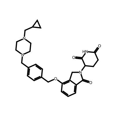 O=C1CCC(N2Cc3c(OCc4ccc(CN5CCN(CC6CC6)CC5)cc4)cccc3C2=O)C(=O)N1